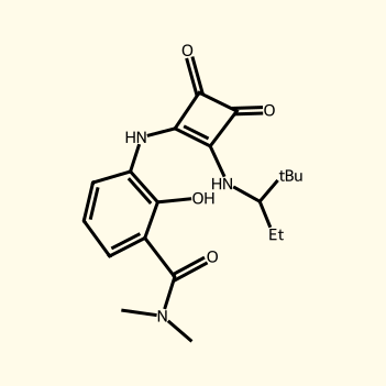 CCC(Nc1c(Nc2cccc(C(=O)N(C)C)c2O)c(=O)c1=O)C(C)(C)C